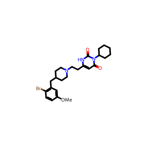 COc1ccc(Br)c(CC2CCN(CCc3cc(=O)n(C4CCCCC4)c(=O)[nH]3)CC2)c1